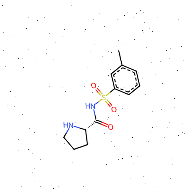 Cc1cccc(S(=O)(=O)NC(=O)[C@@H]2CCCN2)c1